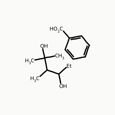 CCC(O)C(C)C(C)(C)O.O=C(O)c1ccccc1